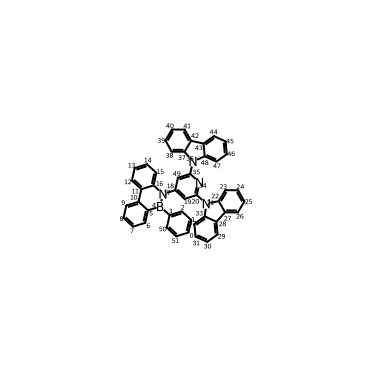 c1ccc(B2c3ccccc3-c3ccccc3N2c2cc(-n3c4ccccc4c4ccccc43)nc(-n3c4ccccc4c4ccccc43)c2)cc1